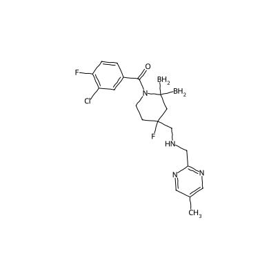 BC1(B)CC(F)(CNCc2ncc(C)cn2)CCN1C(=O)c1ccc(F)c(Cl)c1